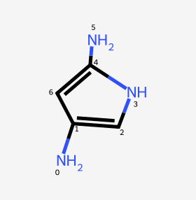 Nc1c[nH]c(N)c1